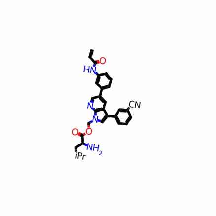 C=CC(=O)Nc1cccc(-c2cnc3c(c2)c(-c2cccc(C#N)c2)cn3COC(=O)C(N)CC(C)C)c1